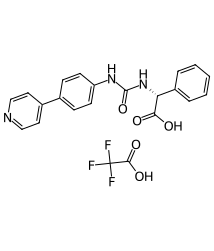 O=C(Nc1ccc(-c2ccncc2)cc1)N[C@@H](C(=O)O)c1ccccc1.O=C(O)C(F)(F)F